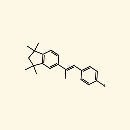 C/C(=C\c1ccc(I)cc1)c1ccc2c(c1)C(C)(C)CC2(C)C